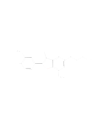 COc1cc(-c2oc3c(OC)cc(CCCOC(C)=O)cc3c2C)ccc1O